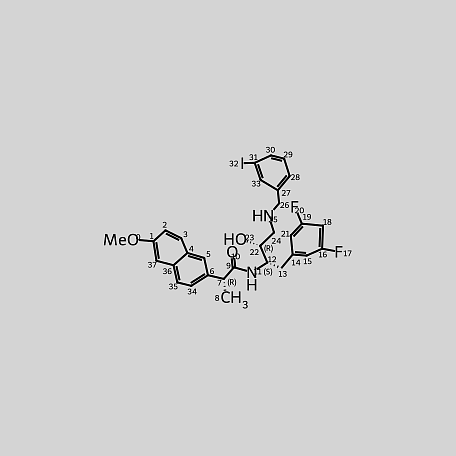 COc1ccc2cc([C@@H](C)C(=O)N[C@@H](Cc3cc(F)cc(F)c3)[C@H](O)CNCc3cccc(I)c3)ccc2c1